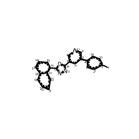 Cc1ccc(-c2cncc(-c3nnc(-c4cccc5ccccc45)o3)c2)cc1